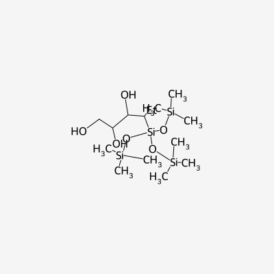 CCC(C(O)C(O)CO)[Si](O[Si](C)(C)C)(O[Si](C)(C)C)O[Si](C)(C)C